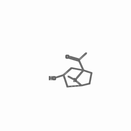 CC(=O)C12CCC(CC(O)C1)N2C